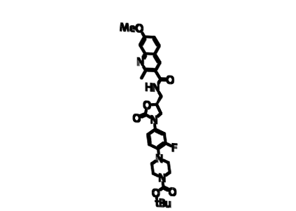 COc1ccc2cc(C(=O)NC[C@H]3CN(c4ccc(N5CCN(C(=O)OC(C)(C)C)CC5)c(F)c4)C(=O)O3)c(C)nc2c1